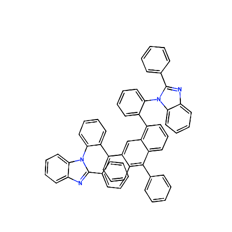 c1ccc(-c2c3cccc(-c4ccccc4-n4c(-c5ccccc5)nc5ccccc54)c3cc3c(-c4ccccc4-n4c(-c5ccccc5)nc5ccccc54)cccc23)cc1